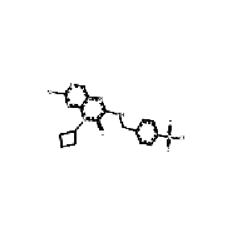 CCS(=O)(=O)c1ccc(CNc2nc3cnc(Cl)nc3n(C3CCC3)c2=O)cc1